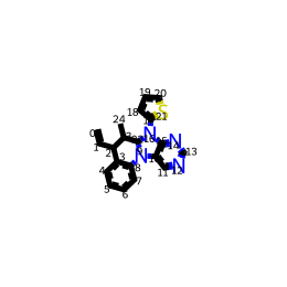 C=CC1c2ccccc2N2c3cncnc3N(c3cccs3)C2C1C